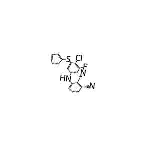 N#Cc1cccc(Nc2cc(F)c(Cl)c(Sc3ccccc3)c2)c1C#N